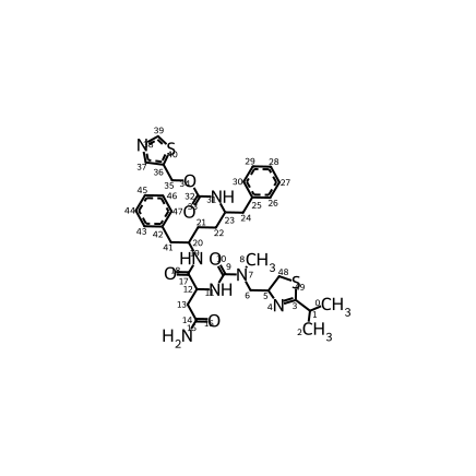 CC(C)C1=NC(CN(C)C(=O)NC(CC(N)=O)C(=O)NC(CCC(Cc2ccccc2)NC(=O)OCc2cncs2)Cc2ccccc2)CS1